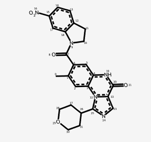 Cc1cc2c(cc1C(=O)N1CCc3ccc([N+](=O)[O-])cc31)[nH]c(=O)c1cnc(C3CCOCC3)n12